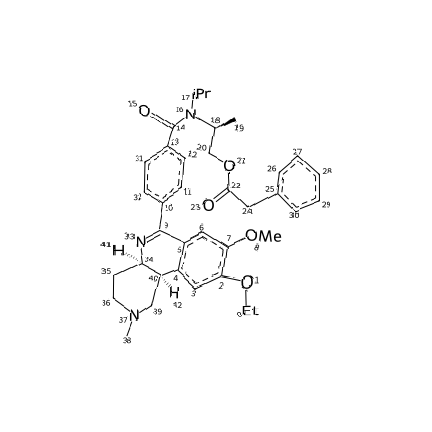 CCOc1cc2c(cc1OC)C(c1ccc(C(=O)N(C(C)C)[C@@H](C)COC(=O)Cc3ccccc3)cc1)=N[C@@H]1CCN(C)C[C@H]21